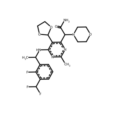 Cc1nc(NC(C)c2cccc(C(F)F)c2F)c(C2OCCO2)c(C(C(N)=O)N2CCOCC2)n1